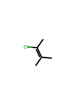 CC(C)=C(C)Cl